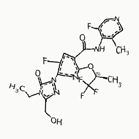 CCn1c(CO)nn(-c2nc(O[C@@H](C)C(F)(F)F)c(C(=O)Nc3c(C)cncc3F)cc2F)c1=O